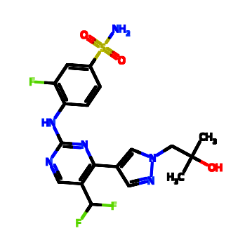 CC(C)(O)Cn1cc(-c2nc(Nc3ccc(S(N)(=O)=O)cc3F)ncc2C(F)F)cn1